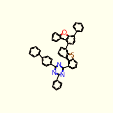 c1ccc(-c2ccc(-c3nc(-c4ccccc4)nc(-c4cccc5sc6c(-c7ccc(-c8ccccc8)c8oc9ccccc9c78)cccc6c45)n3)cc2)cc1